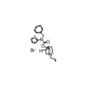 C=CC[N+]12CCC(CC1)[C@@H](OC(=O)N(Cc1ccccc1)c1cccs1)C2.[Br-]